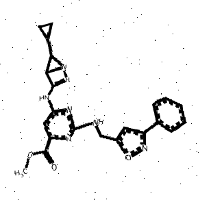 COC(=O)c1cc(NC2=NN3C2C3C2CC2)nc(NCc2cc(-c3ccccc3)no2)n1